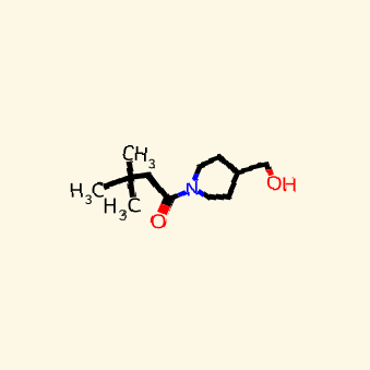 CC(C)(C)CC(=O)N1CCC(CO)CC1